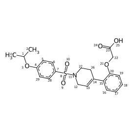 CC(C)Oc1ccc(S(=O)(=O)N2CC=C(c3ccccc3OCC(=O)O)CC2)cc1